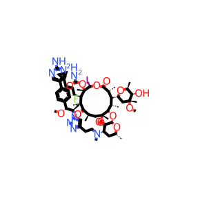 CO[C@H](c1ccc(-c2cnc(N)nc2)cc1)[C@@H](CF)n1cc(CCN(C)[C@H]2C[C@@H](C)O[C@@H](O[C@@H]3[C@@H](C)C([C@H]4C[C@@](C)(OC)[C@@H](O)[C@H](C)O4)[C@@H](C)C(=O)O[C@H](I)[C@@](C)(OC(N)=O)[C@H](CCCC4CC4)[C@@H](C)C(=O)[C@H](C)C[C@@]3(C)OC)C2=O)nn1